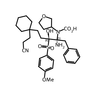 COc1ccc(S(=O)(=O)[C@](O)(CCC2(CCC#N)CCCCC2)[C@](N)(Cc2ccccc2)N(C(=O)O)C2CCOC2)cc1